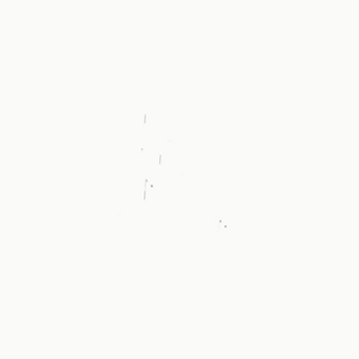 CCOP(=S)(NC=S)SCCC#N